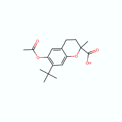 CC(=O)Oc1cc2c(cc1C(C)(C)C)OC(C)(C(=O)O)CC2